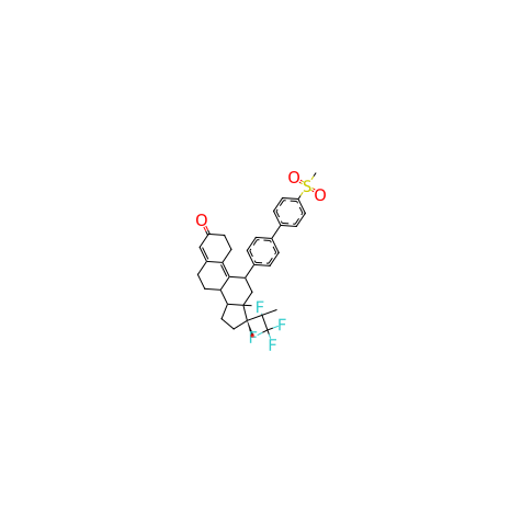 CC12CC(c3ccc(-c4ccc(S(C)(=O)=O)cc4)cc3)C3=C4CCC(=O)C=C4CCC3C1CC[C@@]2(C)C(C)(F)C(F)(F)F